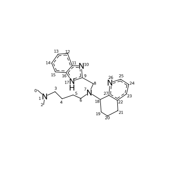 CN(C)CCCCN(Cc1nc2ccccc2[nH]1)C1CCCc2cccnc21